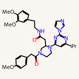 COc1ccc(CC(=O)N2CCN(c3cc(C(C)C)nc(-n4ccnc4)n3)C(CC(=O)NCCc3ccc(OC)c(OC)c3)C2)cc1